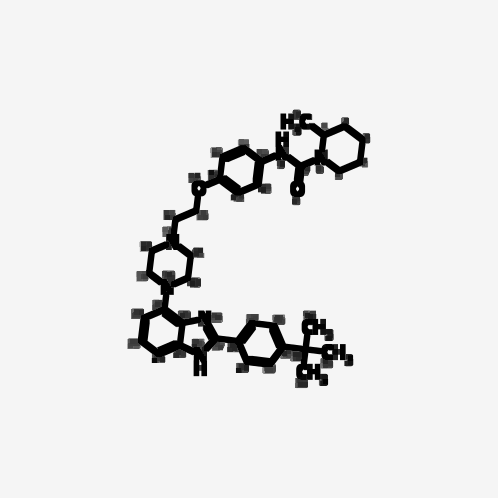 CC1CCCCN1C(=O)Nc1ccc(OCCN2CCN(c3cccc4[nH]c(-c5ccc(C(C)(C)C)cc5)nc34)CC2)cc1